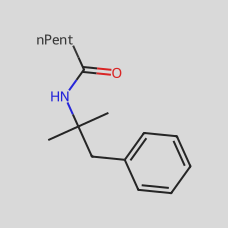 CCCCCC(=O)NC(C)(C)Cc1ccccc1